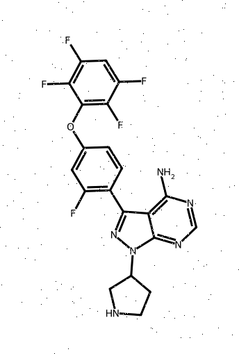 Nc1ncnc2c1c(-c1ccc(Oc3c(F)c(F)cc(F)c3F)cc1F)nn2C1CCNC1